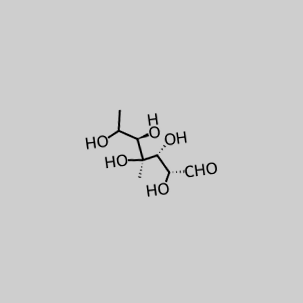 CC(O)[C@@H](O)[C@](C)(O)[C@H](O)[C@@H](O)C=O